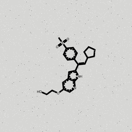 CS(=O)(=O)c1ccc(C(=CC2CCCC2)c2cc3cc(OCCO)cnc3[nH]2)cc1